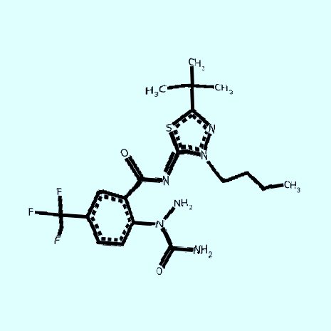 CCCCn1nc(C(C)(C)C)sc1=NC(=O)c1cc(C(F)(F)F)ccc1N(N)C(N)=O